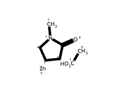 CC(=O)O.CN1CCCC1=O.[Zn]